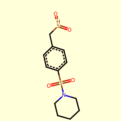 O=[SH](=O)Cc1ccc(S(=O)(=O)N2CCCCC2)cc1